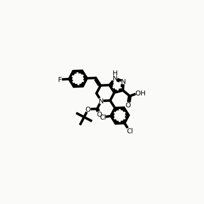 CC(C)(C)OC(=O)N1CC(=Cc2ccc(F)cc2)c2[nH]nc(C(=O)O)c2C1c1ccc(Cl)cc1Cl